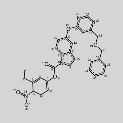 CCC1=CC(OC(=O)n2ccc3cc(Oc4cc(COCc5ccccc5)ncn4)ccc32)=CCC1[N+](=O)[O-]